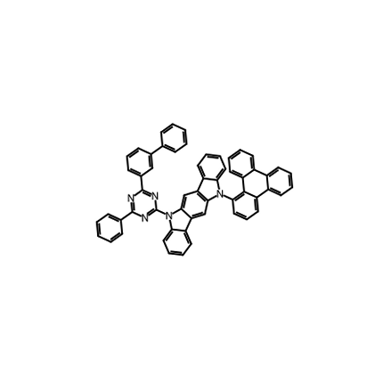 c1ccc(-c2cccc(-c3nc(-c4ccccc4)nc(-n4c5ccccc5c5cc6c(cc54)c4ccccc4n6-c4cccc5c6ccccc6c6ccccc6c45)n3)c2)cc1